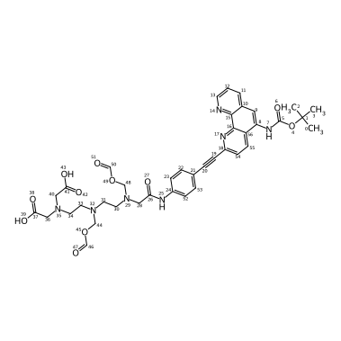 CC(C)(C)OC(=O)Nc1cc2cccnc2c2nc(C#Cc3ccc(NC(=O)CN(CCN(CCN(CC(=O)O)CC(=O)O)COC=O)COC=O)cc3)ccc12